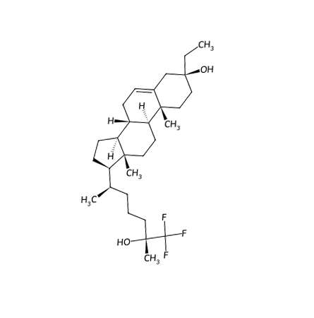 CC[C@]1(O)CC[C@@]2(C)C(=CC[C@H]3[C@@H]4CC[C@H]([C@H](C)CCC[C@@](C)(O)C(F)(F)F)[C@@]4(C)CC[C@@H]32)C1